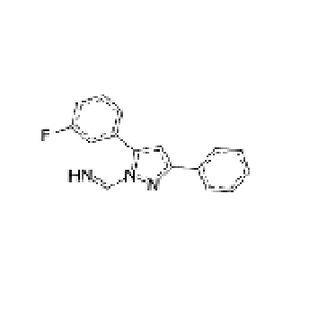 N=Cn1nc(-c2ccccc2)cc1-c1cccc(F)c1